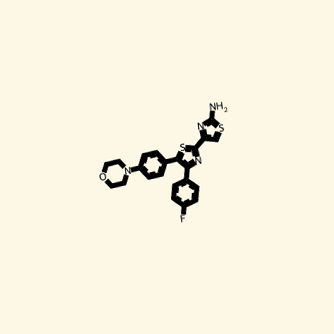 Nc1nc(-c2nc(-c3ccc(F)cc3)c(-c3ccc(N4CCOCC4)cc3)s2)cs1